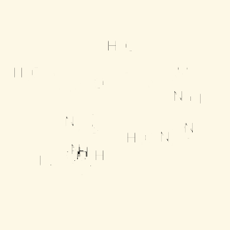 Cc1ccc(OCc2ccc(C(=O)N(C)Cc3nccn3C)cc2C)c(-c2csc(N3CC4CC[C@H](C3)[C@@H]4C(=O)O)n2)c1